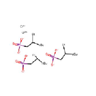 CCCCC(CC)CP(=O)([O-])[O-].CCCCC(CC)CP(=O)([O-])[O-].CCCCC(CC)CP(=O)([O-])[O-].[Cr+3].[Cr+3]